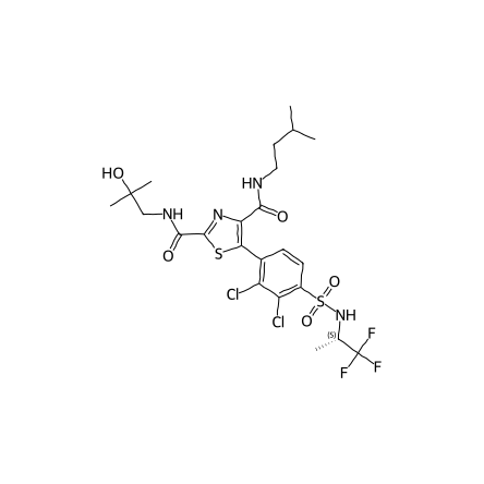 CC(C)CCNC(=O)c1nc(C(=O)NCC(C)(C)O)sc1-c1ccc(S(=O)(=O)N[C@@H](C)C(F)(F)F)c(Cl)c1Cl